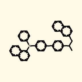 CC(Cc1ccc2ccccc2c1)c1ccc(-c2ccc(N(c3ccccc3)c3cccc4ccccc34)cc2)cc1